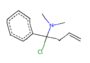 C=CCC(Cl)(c1ccccc1)N(C)C